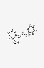 O[C@H]1CCCC[C@H]1OCCc1ccccc1